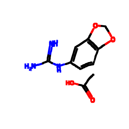 CC(=O)O.N=C(N)Nc1ccc2c(c1)OCO2